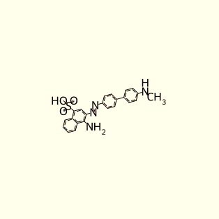 CNc1ccc(-c2ccc(N=Nc3cc(S(=O)(=O)O)c4ccccc4c3N)cc2)cc1